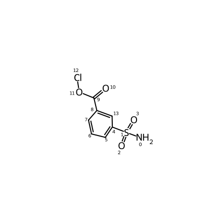 NS(=O)(=O)c1cccc(C(=O)OCl)c1